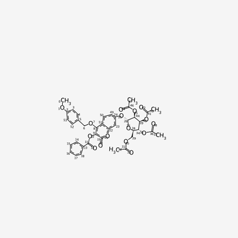 COc1ccc(COc2c(OC(=O)c3ccccc3)c(=O)oc3cc(O[C@H]4O[C@H](COC(C)=O)[C@@H](OC(C)=O)[C@H](OC(C)=O)[C@@H]4OC(C)=O)ccc23)cc1